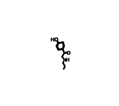 CCCNCC(=O)c1ccc(O)cc1